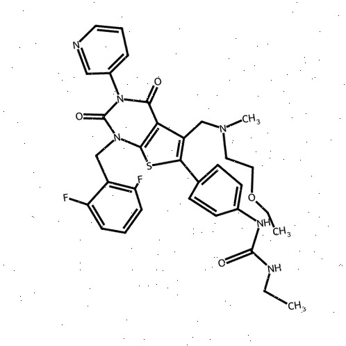 CCNC(=O)Nc1ccc(-c2sc3c(c2CN(C)CCOCC)c(=O)n(-c2cccnc2)c(=O)n3Cc2c(F)cccc2F)cc1